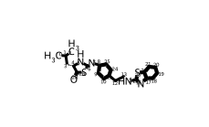 CC(C)C[C@@H]1N/C(=N/c2ccc(CCNc3nc4ccccc4s3)cc2)SC1=O